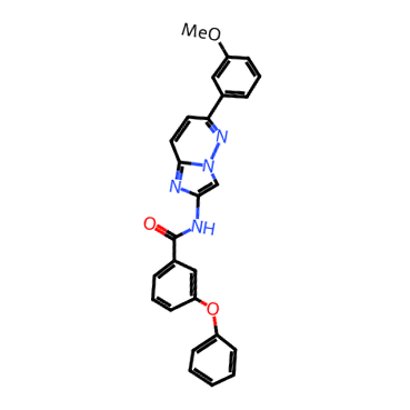 COc1cccc(-c2ccc3nc(NC(=O)c4cccc(Oc5ccccc5)c4)cn3n2)c1